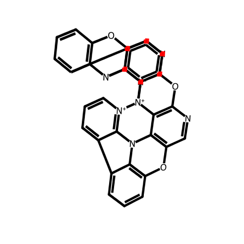 c1cc2c3c(c1)c1ccc[n+]4c1n3-c1c(cnc3c1[N+]41c4c(ncc5c4-n4c6c(cccc6c6ccc[n+]1c64)O5)O3)O2